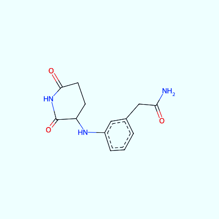 NC(=O)Cc1cccc(NC2CCC(=O)NC2=O)c1